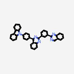 c1cc(-c2ncc3ccccc3n2)cc(-c2nc(-c3ccc(-n4c5ccccc5c5ccccc54)cc3)c3ccccc3n2)c1